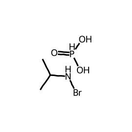 CC(C)NBr.O=[PH](O)O